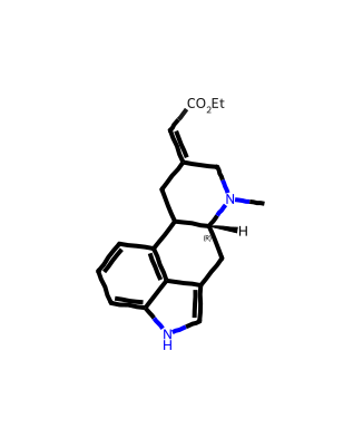 CCOC(=O)C=C1CC2c3cccc4[nH]cc(c34)C[C@H]2N(C)C1